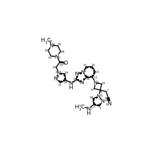 CNc1cnn(C2(CC#N)CN(c3cccn4nc(Nc5cnn(CC(=O)N6CCN(C)CC6)c5)nc34)C2)c1